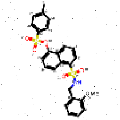 COc1ccccc1CNS(=O)(=O)c1cccc2c(OS(=O)(=O)c3ccc(C)cc3)cccc12